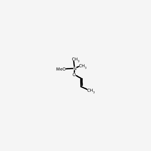 C/C=C/O[Si](C)(C)OC